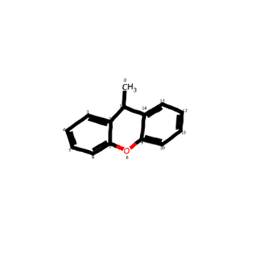 CC1c2ccccc2Oc2ccccc21